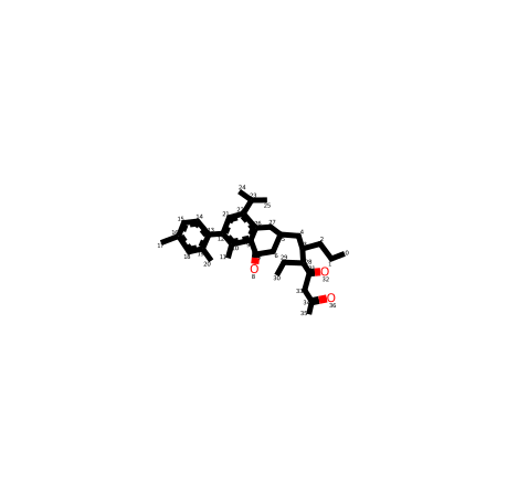 CCCC(CC1CC(=O)c2c(C)c(-c3ccc(C)cc3C)cc(C(C)C)c2C1)C(CC)C(=O)CC(C)=O